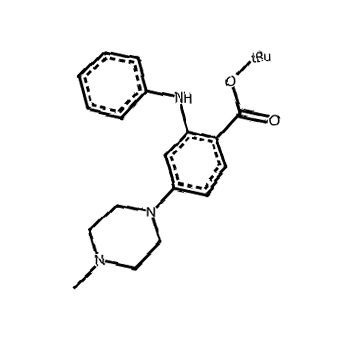 CN1CCN(c2ccc(C(=O)OC(C)(C)C)c(Nc3ccccc3)c2)CC1